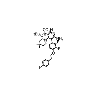 Cc1nc(N)c(-c2ccc(OCCc3ccc(F)cc3)c(F)c2F)c(N2CCC(C)(C)CC2)c1[C@H](OC(C)(C)C)C(=O)O